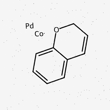 C1=Cc2ccccc2OC1.[Co].[Pd]